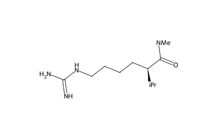 CNC(=O)[C@H](CCCCNC(=N)N)C(C)C